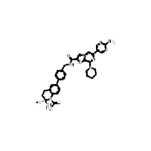 CC(=O)N1c2ccc(-c3ccc(CNC(=O)c4cn5cc(-c6cnc(N)nc6)nc(N6CCCCC6)c5n4)cc3)cc2CC[C@]1(C)O